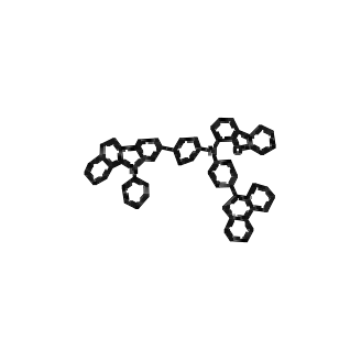 c1ccc(-n2c3cc(-c4ccc(N(c5ccc(-c6cc7ccccc7c7ccccc67)cc5)c5cccc6c5oc5ccccc56)cc4)ccc3c3ccc4ccccc4c32)cc1